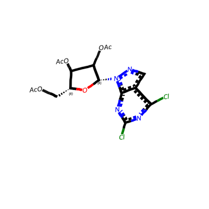 CC(=O)OC[C@H]1O[C@@H](n2ncc3c(Cl)nc(Cl)nc32)C(OC(C)=O)C1OC(C)=O